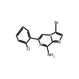 Nc1nc(-c2ccccc2Cl)cn2c(Br)cnc12